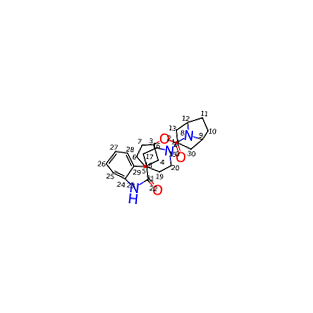 O=C(OC1CCCC1)N1C2CCC1CC(N1CCC3(CC1)C(=O)Nc1ccccc13)C2